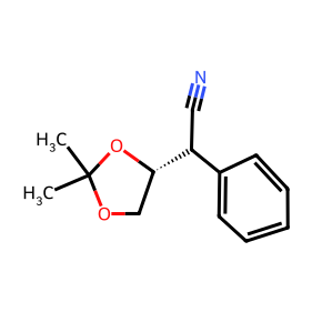 CC1(C)OC[C@@H](C(C#N)c2ccccc2)O1